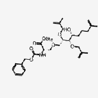 C=C(C)CCC[C@@H](O)[C@H](OCC(=C)C)[C@H](COC[C@H](NC(=O)OCc1ccccc1)C(=O)OC)OCC(=C)C